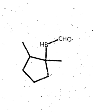 CC1CCCC1(C)B[C]=O